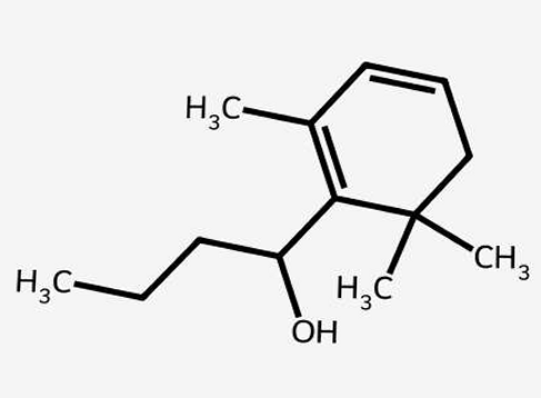 CCCC(O)C1=C(C)C=CCC1(C)C